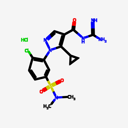 CN(C)S(=O)(=O)c1ccc(Cl)c(-n2ncc(C(=O)NC(=N)N)c2C2CC2)c1.Cl